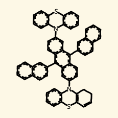 C1=CC2=C(CC1)N(c1ccc3c(-c4ccc5ccccc5c4)c4cc(N5c6ccccc6Sc6ccccc65)ccc4c(-c4ccc5ccccc5c4)c3c1)c1ccccc1S2